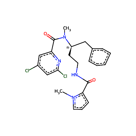 CN(C(=O)c1cc(Cl)cc(Cl)n1)[C@H](CCNC(=O)c1cccn1C)Cc1ccccc1